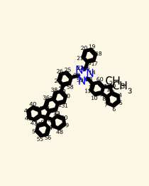 CC1(C)c2ccccc2-c2ccc(-c3nc(-c4ccccc4)nc(-c4cccc(-c5ccc6cc7c(cc6c5)-c5ccccc5C7(c5ccccc5)c5ccccc5)c4)n3)cc21